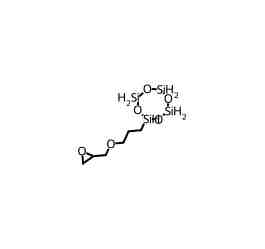 C(COCC1CO1)C[SiH]1O[SiH2]O[SiH2]O[SiH2]O1